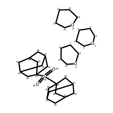 C1CCOCC1.C1CCOCC1.C1CCOCC1.O=S(=O)(C12CC3CC(CC(C3)C1)C2)C12CC3CC(CC(C3)C1)C2